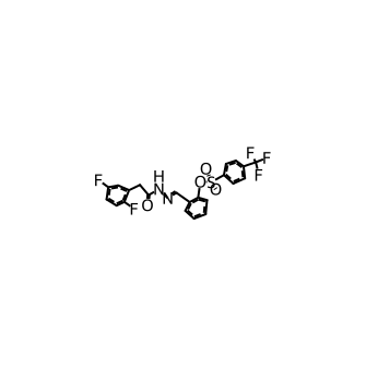 O=C(Cc1cc(F)ccc1F)NN=Cc1ccccc1OS(=O)(=O)c1ccc(C(F)(F)F)cc1